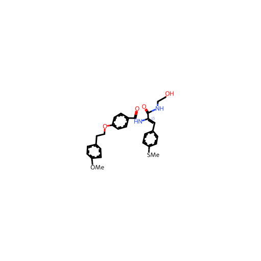 COc1ccc(CCOc2ccc(C(=O)N/C(=C\c3ccc(SC)cc3)C(=O)NCCO)cc2)cc1